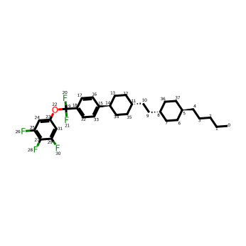 CCCCC[C@H]1CC[C@H](CC[C@H]2CC[C@H](c3ccc(C(F)(F)Oc4cc(F)c(F)c(F)c4)cc3)CC2)CC1